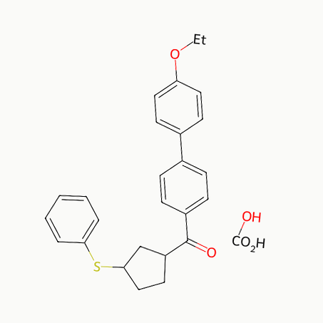 CCOc1ccc(-c2ccc(C(=O)C3CCC(Sc4ccccc4)C3)cc2)cc1.O=C(O)O